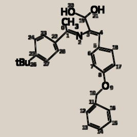 C/C(=N\C(=C/c1ccc(OCc2ccccc2)cc1)C(O)O)c1ccc(C(C)(C)C)cc1